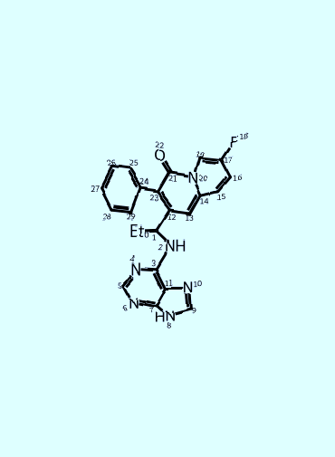 CCC(Nc1ncnc2[nH]cnc12)c1cc2ccc(F)cn2c(=O)c1-c1ccccc1